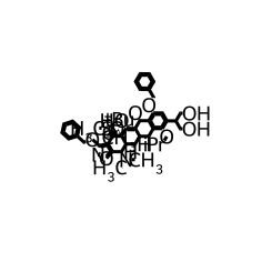 CC(C)Oc1c(C(CO)CO)cc(OCc2ccccc2)c2c1C[C@H]1C[C@H]3[C@H](N(C)C)c4onc(OCc5ccccc5)c4C(=O)[C@@]3(O[Si](C)(C)C(C)(C)C)C(O)=C1C2=O